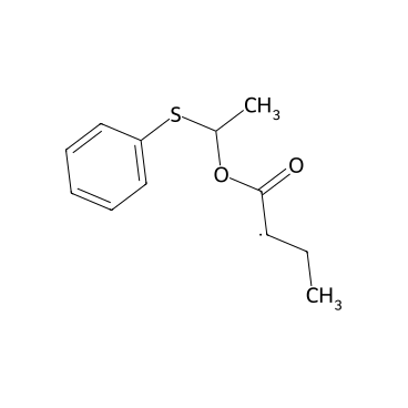 CC[CH]C(=O)OC(C)Sc1ccccc1